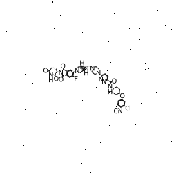 N#Cc1ccc(O[C@H]2CC[C@H](NC(=O)c3ccc(N4CCN(C[C@@H]5[C@H]6CN(c7cc8c(cc7F)C(=O)N(C7CCC(=O)NC7=O)C8=O)C[C@@H]56)CC4)nn3)CC2)cc1Cl